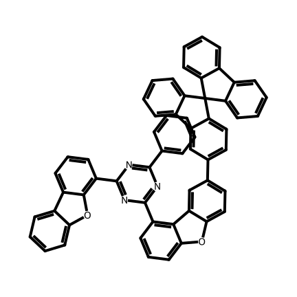 c1ccc(-c2nc(-c3cccc4c3oc3ccccc34)nc(-c3cccc4oc5ccc(-c6ccc7c(c6)-c6ccccc6C76c7ccccc7-c7ccccc76)cc5c34)n2)cc1